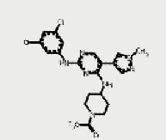 Cn1cc(-c2cnc(Nc3cc(Cl)cc(Cl)c3)nc2NC2CCN(C(=O)C(F)(F)F)CC2)cn1